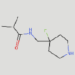 CC(C)C(=O)NCC1(F)CCNCC1